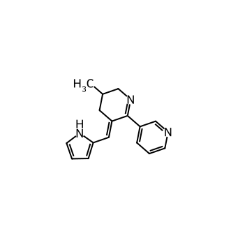 CC1CN=C(c2cccnc2)C(=Cc2ccc[nH]2)C1